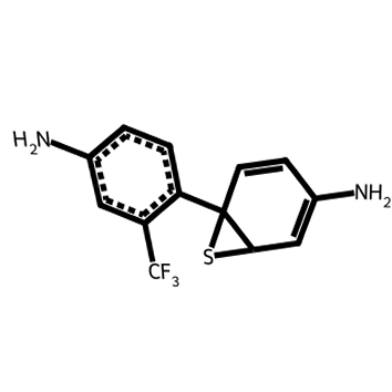 NC1=CC2SC2(c2ccc(N)cc2C(F)(F)F)C=C1